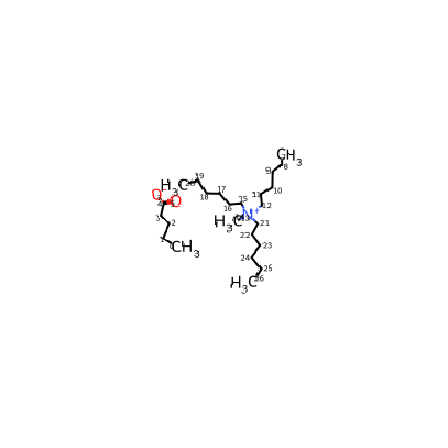 CCCCC(=O)[O-].CCCCCC[N+](C)(CCCCCC)CCCCCC